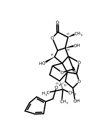 C[C@@H]1C(=O)OC2[C@H](O)C34C5C[C@@H](C(C)(C)C)C36C(OC(O)[C@@H]6OCc3ccccc3)OC4(C(=O)O5)[C@]21O